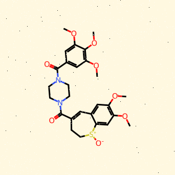 COc1cc2c(cc1OC)[S+]([O-])CCC(C(=O)N1CCN(C(=O)c3cc(OC)c(OC)c(OC)c3)CC1)=C2